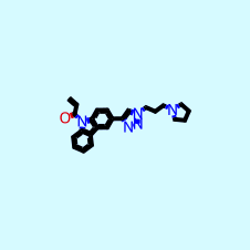 C=CC(=O)n1c2ccccc2c2cc(-c3cn(CCCN4CCCC4)nn3)ccc21